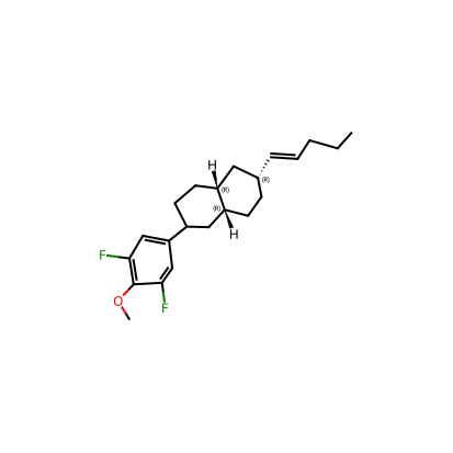 CCCC=C[C@@H]1CC[C@@H]2CC(c3cc(F)c(OC)c(F)c3)CC[C@@H]2C1